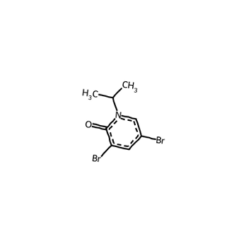 CC(C)n1cc(Br)cc(Br)c1=O